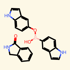 O=C1NCc2ccccc21.OB(Oc1ccc2[nH]ccc2c1)c1ccc2[nH]ccc2c1